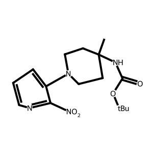 CC1(NC(=O)OC(C)(C)C)CCN(c2cccnc2[N+](=O)[O-])CC1